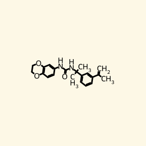 C=C(C)c1cccc(C(C)(C)NC(=O)Nc2ccc3c(c2)OCCO3)c1